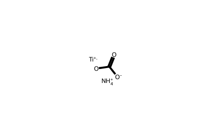 O=C([O-])[O-].[NH4+].[Ti+]